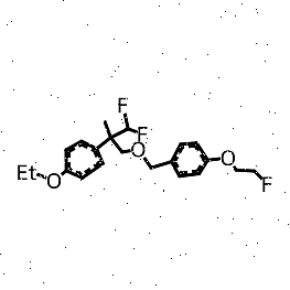 CCOc1ccc(C(C)(COCc2ccc(OCCF)cc2)C(F)F)cc1